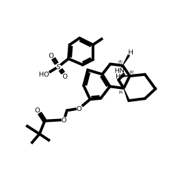 CC(C)(C)C(=O)OCOc1ccc2c(c1)[C@@]13CCCC[C@H]1[C@@H](C2)NCC3.Cc1ccc(S(=O)(=O)O)cc1